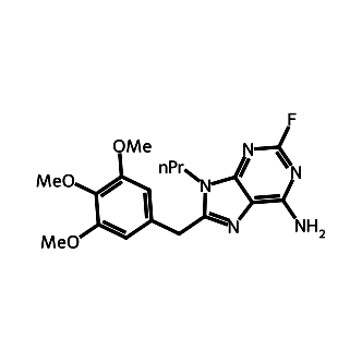 CCCn1c(Cc2cc(OC)c(OC)c(OC)c2)nc2c(N)nc(F)nc21